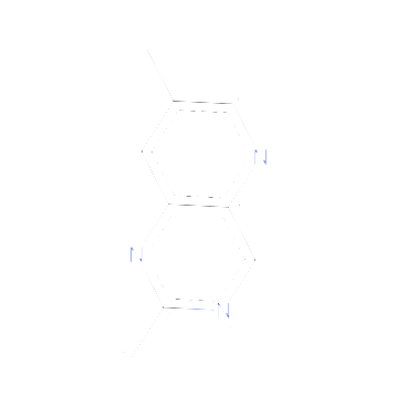 Cc1cnc2cnc(C)nc2c1